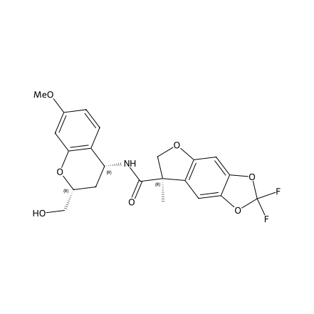 COc1ccc2c(c1)O[C@@H](CO)C[C@H]2NC(=O)[C@@]1(C)COc2cc3c(cc21)OC(F)(F)O3